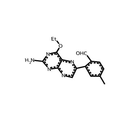 CCOc1nc(N)nc2ncc(-c3cc(C)ccc3C=O)nc12